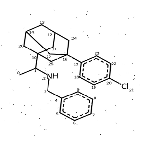 CC(NCc1ccccc1)C12CC3CC(CC(c4ccc(Cl)cc4)(C3)C1)C2